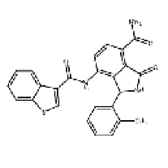 Cc1ccccc1C1NC(=O)c2c(C(N)=O)ccc(NC(=O)c3csc4ccccc34)c21